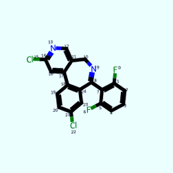 Fc1cccc(F)c1C1=NCc2cnc(Cl)cc2-c2ccc(Cl)cc21